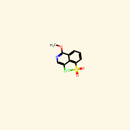 COc1ncc(Cl)c2c(S(=O)(=O)Cl)cccc12